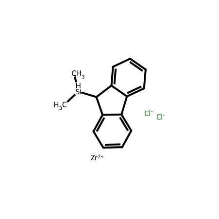 C[SiH](C)C1c2ccccc2-c2ccccc21.[Cl-].[Cl-].[Zr+2]